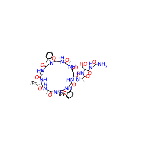 CC(C)C[C@@H]1NC(=O)CNC(=O)[C@H](Cc2ccccc2)N(C)C(=O)[C@H](C)NC(=O)[C@H](C)NC(=O)C[C@H](C(=O)N(C)[C@@H](C)C(=O)N[C@@H](CO)C(=O)NCC(N)=O)NC(=O)[C@H](Cc2ccccc2)NC(=O)[C@H](C(C)C)NC(=O)[C@H](C)NC1=O